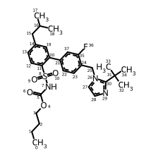 CCCCOC(=O)NS(=O)(=O)c1ccc(CC(C)C)cc1-c1ccc(Cn2ccnc2C(C)(C)C)c(F)c1